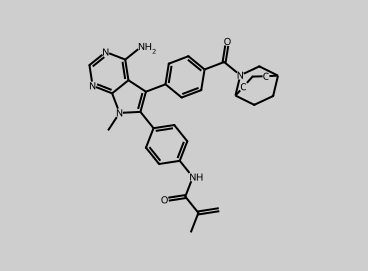 C=C(C)C(=O)Nc1ccc(-c2c(-c3ccc(C(=O)N4CC5CCCC4CC5)cc3)c3c(N)ncnc3n2C)cc1